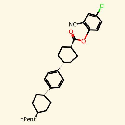 CCCCC[C@H]1CC[C@H](c2ccc([C@H]3CC[C@H](C(=O)Oc4ccc(Cl)cc4C#N)CC3)cc2)CC1